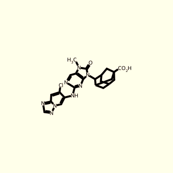 Cn1c(=O)n(C2C3CC4CC2CC(C(=O)O)(C4)C3)c2nc(Nc3cn4ncnc4cc3Cl)ncc21